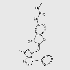 CNC(=O)Nc1ccc2c(c1)C(=O)C(=Cc1cn(C)c3nccc(-c4ccccc4)c13)O2